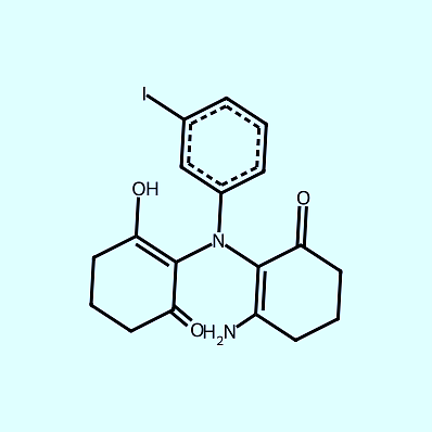 NC1=C(N(C2=C(O)CCCC2=O)c2cccc(I)c2)C(=O)CCC1